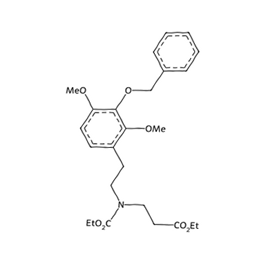 CCOC(=O)CCN(CCc1ccc(OC)c(OCc2ccccc2)c1OC)C(=O)OCC